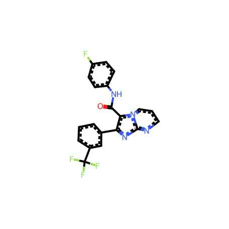 O=C(Nc1ccc(F)cc1)c1c(-c2cccc(C(F)(F)F)c2)nc2ncccn12